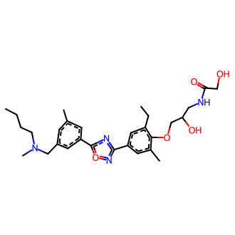 CCCCN(C)Cc1cc(C)cc(-c2nc(-c3cc(C)c(OCC(O)CNC(=O)CO)c(CC)c3)no2)c1